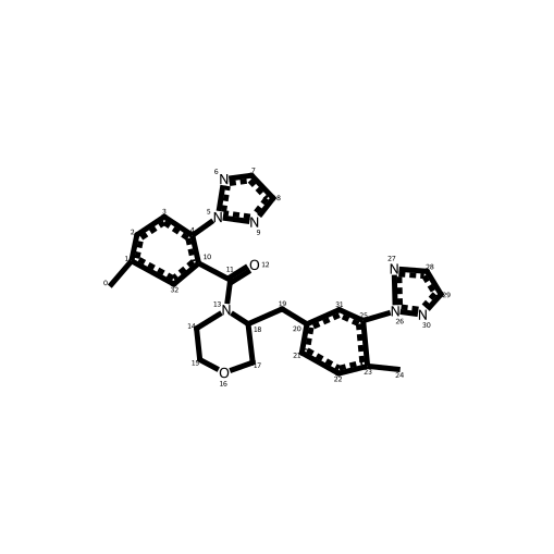 Cc1ccc(-n2nccn2)c(C(=O)N2CCOCC2Cc2ccc(C)c(-n3nccn3)c2)c1